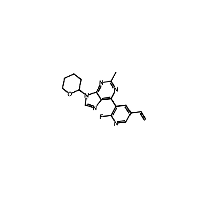 C=Cc1cnc(F)c(-c2nc(C)nc3c2ncn3C2CCCCO2)c1